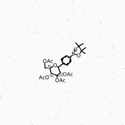 CC(=O)OC[C@H]1OC(c2ccc(B3OC(C)(C)C(C)(C)O3)cc2)[C@H](OC(C)=O)[C@@H](OC(C)=O)[C@@H]1OC(C)=O